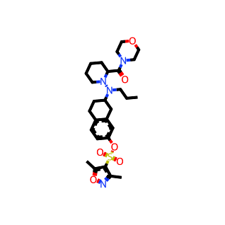 CCCN(C1CCc2ccc(OS(=O)(=O)c3c(C)noc3C)cc2C1)N1CCCCC1C(=O)N1CCOCC1